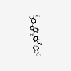 COc1ccc(-c2cnc3c(Nc4ccc(C(=O)N5CCN[C@H](CO)C5)c(C)c4)nccn23)cc1F